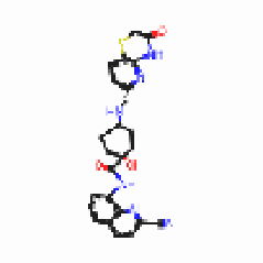 N#Cc1ccc2cccc(NC(=O)[C@]3(O)CC[C@@H](NCc4ccc5c(n4)NC(=O)CS5)CC3)c2n1